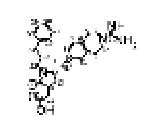 N=C(N)N1CCc2ccc(OC[C@@H]3C[C@@H](CC(=O)O)C(=O)N3CCCc3ccccc3)cc2CC1